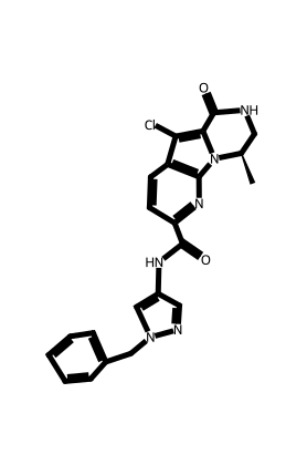 C[C@@H]1CNC(=O)c2c(Cl)c3ccc(C(=O)Nc4cnn(Cc5ccccc5)c4)nc3n21